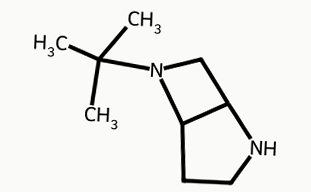 CC(C)(C)N1CC2NCCC21